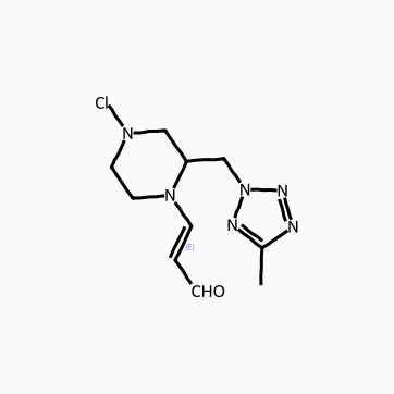 Cc1nnn(CC2CN(Cl)CCN2/C=C/C=O)n1